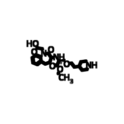 CCOC(=O)[C@H](COCCC1CCNCC1)NC1CCc2ccccc2N(CC(=O)O)C1=O